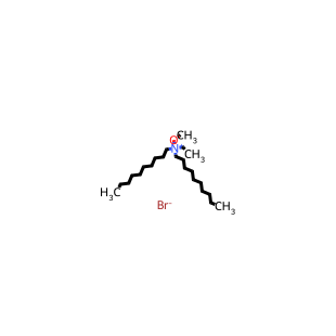 CCCCCCCCCC[N+](CC)(CCCCCCCCCC)OC.[Br-]